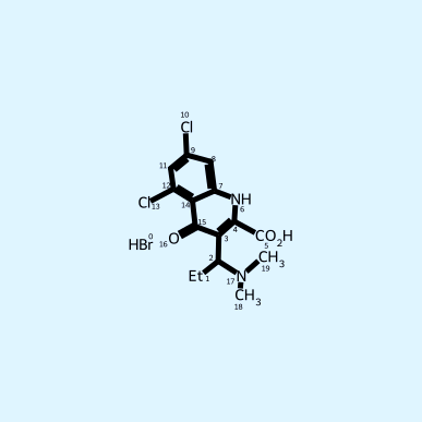 Br.CCC(c1c(C(=O)O)[nH]c2cc(Cl)cc(Cl)c2c1=O)N(C)C